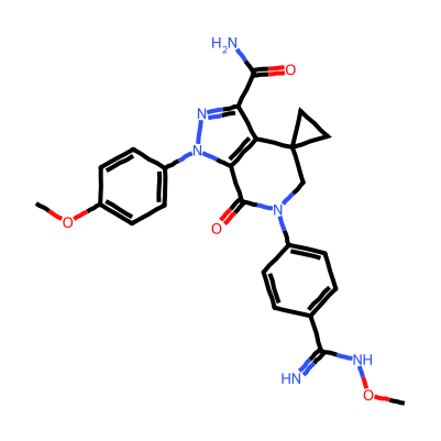 CONC(=N)c1ccc(N2CC3(CC3)c3c(C(N)=O)nn(-c4ccc(OC)cc4)c3C2=O)cc1